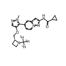 [2H]C([2H])([2H])N1CC[C@H]1COc1cnn(C)c1-c1ccn2nc(NC(=O)C3CC3)cc2c1